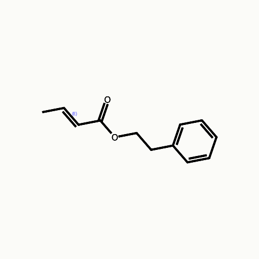 C/C=C/C(=O)OCCc1ccccc1